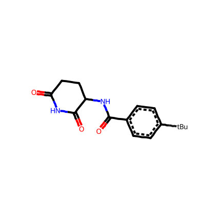 CC(C)(C)c1ccc(C(=O)NC2CCC(=O)NC2=O)cc1